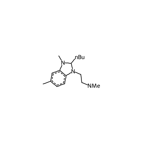 CCCCC1N(C)c2cc(C)ccc2N1CCNC